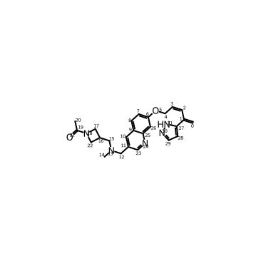 C=C(/C=C\COc1ccc2cc(CN(C)CC3CN(C(C)=O)C3)cnc2c1)c1ccn[nH]1